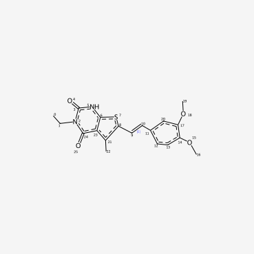 CCn1c(=O)[nH]c2sc(/C=C/c3ccc(OC)c(OC)c3)c(C)c2c1=O